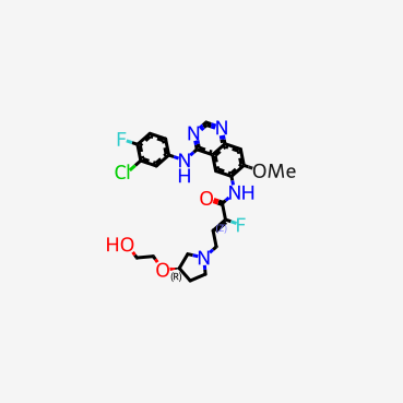 COc1cc2ncnc(Nc3ccc(F)c(Cl)c3)c2cc1NC(=O)/C(F)=C/CN1CC[C@@H](OCCO)C1